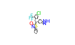 O=C1N=C([C@H]2CC3CCC2C3)SC1=C(Cc1ccc(Cl)cc1C(F)(F)F)c1ccc2[nH]ncc2c1